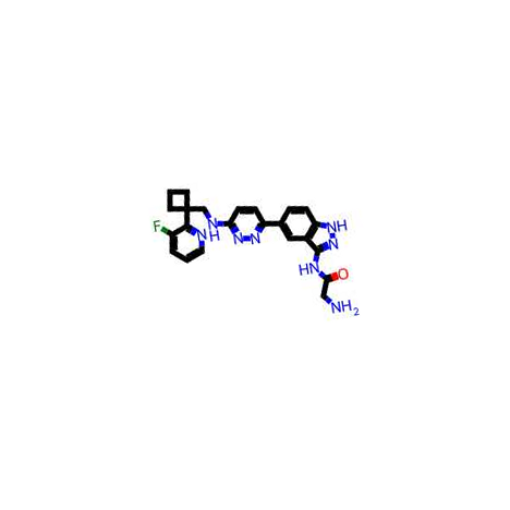 NCC(=O)Nc1n[nH]c2ccc(-c3ccc(NCC4(c5ncccc5F)CCC4)nn3)cc12